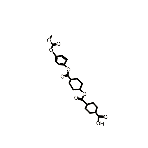 COC(=O)Oc1ccc(OC(=O)C2CCC(OC(=O)C3CCC(C(=O)O)CC3)CC2)cc1